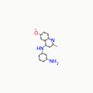 COc1ccc2nc(C)cc(Nc3cccc(N)c3)c2c1